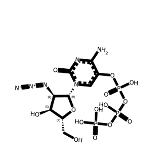 [N-]=[N+]=N[C@@H]1[C@H](O)[C@@H](CO)O[C@H]1n1cc(OP(=O)(O)OP(=O)(O)OP(=O)(O)O)c(N)nc1=O